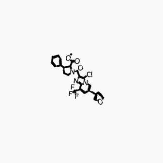 COC(=O)C1C(c2ccccc2)CCN1C(=O)c1nc2c(C(F)(F)F)cc(-c3ccoc3)cn2c1Cl